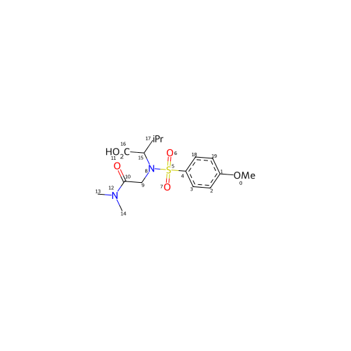 COc1ccc(S(=O)(=O)N(CC(=O)N(C)C)C(C(=O)O)C(C)C)cc1